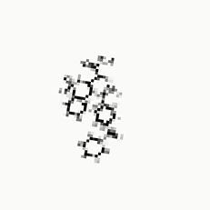 NN(C1=C(C(I)C(=O)O)CS(=O)(=O)c2ccccc21)c1ccc(C(=O)N2CCCCC2)cc1